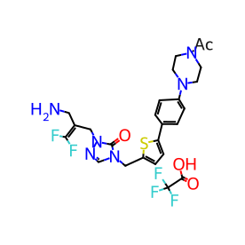 CC(=O)N1CCN(c2ccc(-c3ccc(Cn4cnn(CC(CN)=C(F)F)c4=O)s3)cc2)CC1.O=C(O)C(F)(F)F